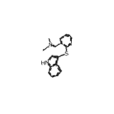 CN(C)Cc1ccccc1Sc1c[nH]c2ccccc12